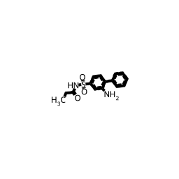 CCC(=O)NS(=O)(=O)c1ccc(-c2ccccc2)c(N)c1